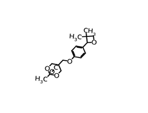 CC12OCC(COc3ccc(C4OCC4(C)C)cc3)(CO1)CO2